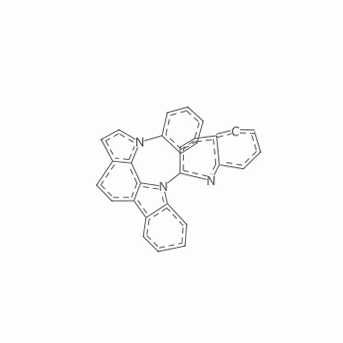 c1ccc(-n2ccc3ccc4c5ccccc5n(-c5ccc6ccccc6n5)c4c32)cc1